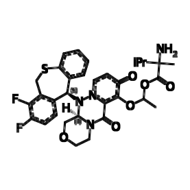 CC(OC(=O)C(C)(N)C(C)C)Oc1c2n(ccc1=O)N([C@@H]1c3ccccc3SCc3c1ccc(F)c3F)[C@@H]1COCCN1C2=O